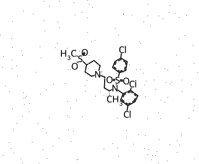 C[C@H](CCN1CCC(S(C)(=O)=O)CC1)N(c1cc(Cl)ccc1Cl)S(=O)(=O)c1ccc(Cl)cc1